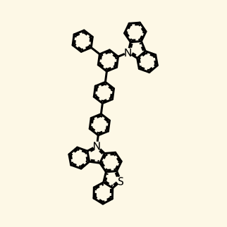 c1ccc(-c2cc(-c3ccc(-c4ccc(-n5c6ccccc6c6c7c(ccc65)sc5ccccc57)cc4)cc3)cc(-n3c4ccccc4c4ccccc43)c2)cc1